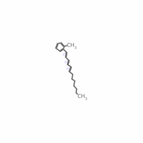 CCCCCCC/C=C/C=C/C=C/c1ccccc1C